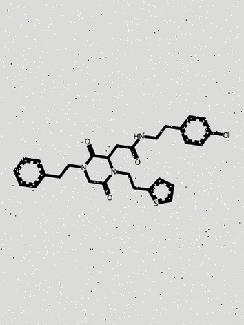 O=C(CC1C(=O)N(CCc2ccccc2)CC(=O)N1CCc1cccs1)NCCc1ccc(Cl)cc1